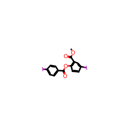 COC(=O)c1cc(I)ccc1OC(=O)c1ccc(I)cc1